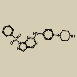 O=S(=O)(c1ccccc1)n1ncc2cnc(Nc3ccc(N4CCNCC4)cc3)nc21